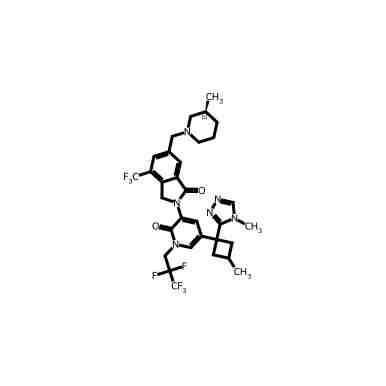 CC1CC(c2cc(N3Cc4c(cc(CN5CCC[C@H](C)C5)cc4C(F)(F)F)C3=O)c(=O)n(CC(F)(F)C(F)(F)F)c2)(c2nncn2C)C1